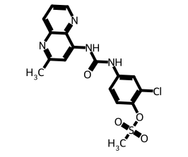 Cc1cc(NC(=O)Nc2ccc(OS(C)(=O)=O)c(Cl)c2)c2ncccc2n1